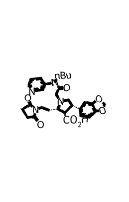 CCCCN(C(=O)CN1C[C@H](c2ccc3c(c2)OCO3)[C@@H](C(=O)O)[C@@H]1CCN1C(=O)CCC1=O)c1cccnc1